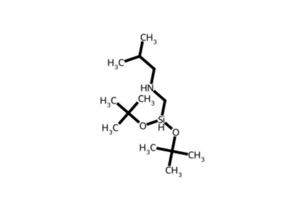 CC(C)CNC[SiH](OC(C)(C)C)OC(C)(C)C